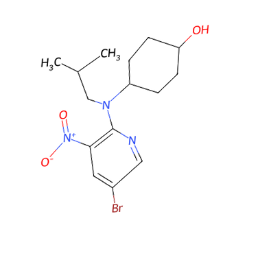 CC(C)CN(c1ncc(Br)cc1[N+](=O)[O-])C1CCC(O)CC1